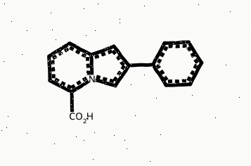 O=C(O)c1cccc2cc(-c3ccccc3)cn12